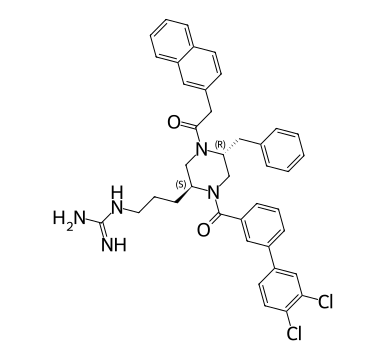 N=C(N)NCCC[C@H]1CN(C(=O)Cc2ccc3ccccc3c2)[C@H](Cc2ccccc2)CN1C(=O)c1cccc(-c2ccc(Cl)c(Cl)c2)c1